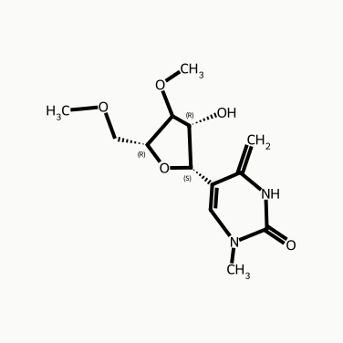 C=C1NC(=O)N(C)C=C1[C@@H]1O[C@H](COC)C(OC)[C@@H]1O